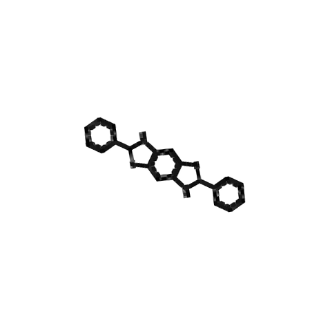 c1ccc(C2Nc3cc4c(cc3S2)NC(c2ccccc2)S4)cc1